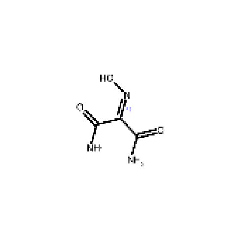 [NH]C(=O)/C(=N\O)C(N)=O